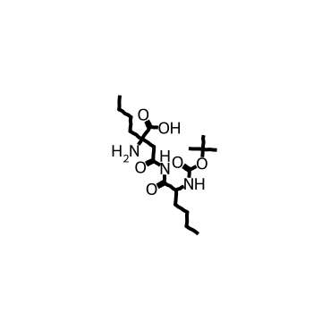 CCCCC(NC(=O)OC(C)(C)C)C(=O)NC(=O)CC(N)(CCCC)C(=O)O